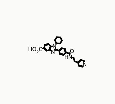 O=C(O)c1ccc2c(c1)nc(-c1ccc(C(=O)NCCc3ccncc3)cc1)n2C1CCCCC1